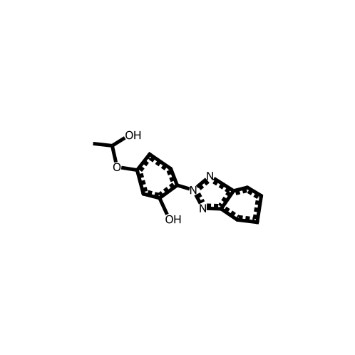 CC(O)Oc1ccc(-n2nc3ccccc3n2)c(O)c1